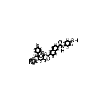 CC(CC1COC(c2ccc3cc(C(=O)Nc4ccc(O)cc4)ccc3c2)OC1)C(O)(Cn1cncn1)c1ccc(F)cc1F